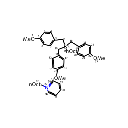 CCCCCCCC[B-](Cc1ccc(OC)cc1)(Cc1ccc(OC)cc1)Cc1ccc(OC)cc1.CCCCCCCC[n+]1ccccc1